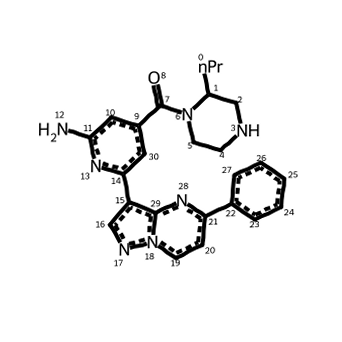 CCCC1CNCCN1C(=O)c1cc(N)nc(-c2cnn3ccc(-c4ccccc4)nc23)c1